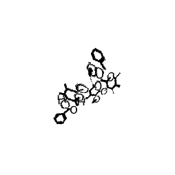 COC[C@@H]1O[C@@H](O[C@@H]2C(COCc3ccccc3)O[C@@H](C)C(C)[C@H]2C)C(OC)C(C)[C@@H]1O[C@H]1O[C@H]2COC(c3ccccc3)O[C@H]2C(C)C1C